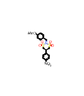 COc1ccc(CN2S(=O)(=O)CC(c3ccc([N+](=O)[O-])cc3)CS2(=O)=O)cc1